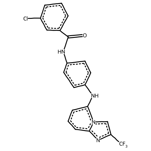 O=C(Nc1ccc(Nc2cccc3nc(C(F)(F)F)cn23)cc1)c1cccc(Cl)c1